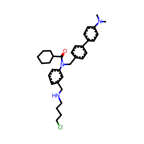 CN(C)c1ccc(-c2ccc(CN(C(=O)C3CCCCC3)c3cccc(CNCCCCCl)c3)cc2)cc1